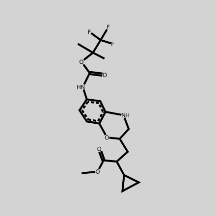 COC(=O)C(CC1CNc2cc(NC(=O)OC(C)(C)C(F)(F)F)ccc2O1)C1CC1